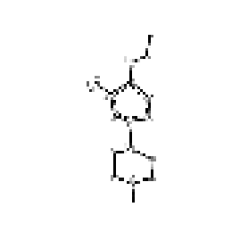 CCOc1ccc(N2CCN(C)CC2)cc1N